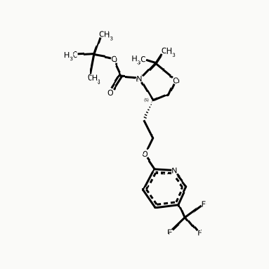 CC(C)(C)OC(=O)N1[C@@H](CCOc2ccc(C(F)(F)F)cn2)COC1(C)C